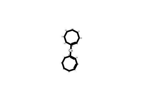 C1=C\CCCC\[C]([Co]/[C]2=C/CCCCCC2)=C/1